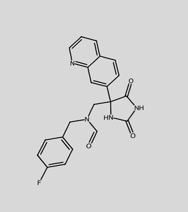 O=CN(Cc1ccc(F)cc1)CC1(c2ccc3cccnc3c2)NC(=O)NC1=O